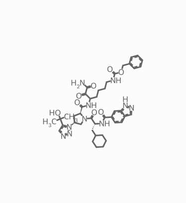 CC(C)(O)c1cnnn1[C@H]1C[C@@H](C(=O)NC(CCCCNC(=O)OCc2ccccc2)C(=O)C(N)=O)N(C(=O)[C@@H](CC2CCCCC2)NC(=O)c2ccc3cn[nH]c3c2)C1